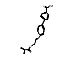 C=C(C)C(=O)OCCOc1ccc(-c2ccc(C(=O)O)cc2)cc1